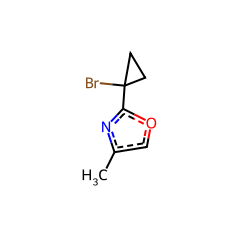 Cc1coc(C2(Br)CC2)n1